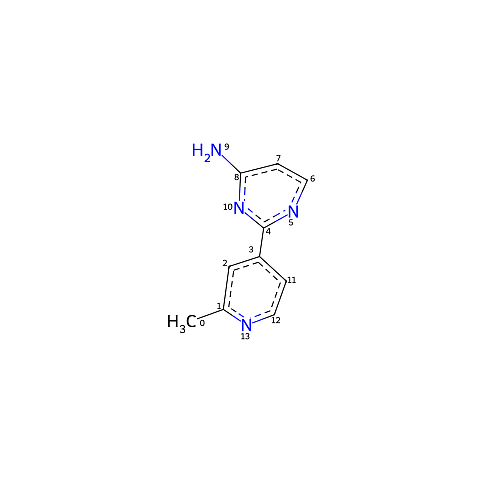 Cc1cc(-c2nccc(N)n2)ccn1